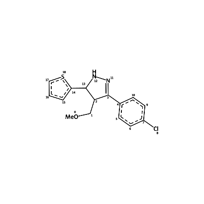 COCC1C(c2ccc(Cl)cc2)=NNC1c1cccs1